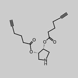 C#CCCCC(=O)O[C@H]1CNC[C@H]1OC(=O)CCCC#C